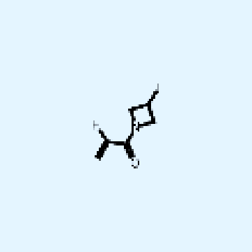 C=C(F)C(=O)N1CC(I)C1